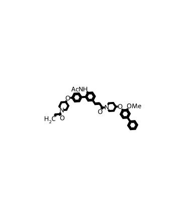 C=CC(=O)N1CCC(Oc2ccc(-c3cc(/C=C/C(=O)N4CCC(Oc5ccc(-c6ccccc6)cc5OC)CC4)ccc3NC(C)=O)cc2)CC1